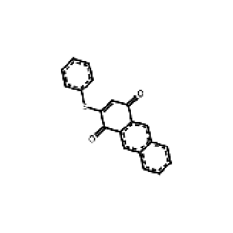 O=C1C=C(Sc2ccccc2)C(=O)c2cc3ccccc3cc21